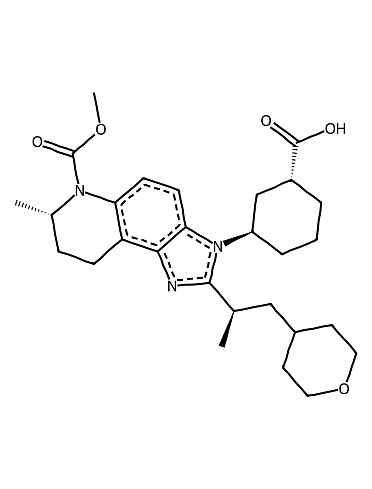 COC(=O)N1c2ccc3c(nc([C@H](C)CC4CCOCC4)n3[C@@H]3CCC[C@@H](C(=O)O)C3)c2CC[C@@H]1C